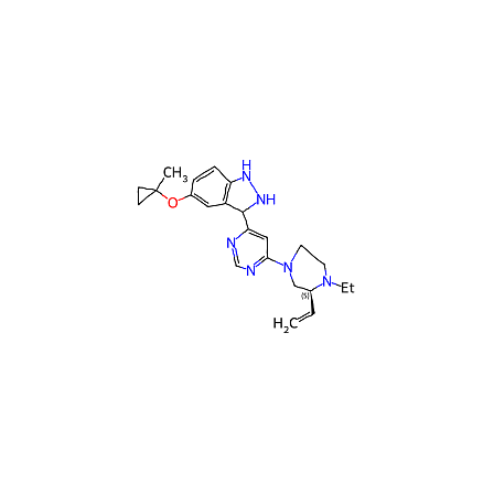 C=C[C@H]1CN(c2cc(C3NNc4ccc(OC5(C)CC5)cc43)ncn2)CCN1CC